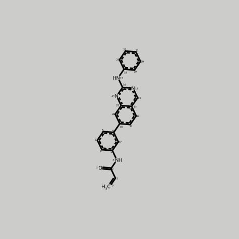 C=CC(=O)Nc1cccc(-c2ccc3cnc(Nc4ccccc4)nc3c2)c1